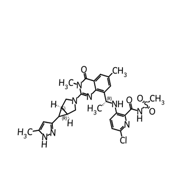 Cc1cc([C@@H](C)Nc2ccc(Cl)nc2C(=O)NS(C)(=O)=O)c2nc(N3C[C@@H]4C(c5cc(C)[nH]n5)[C@@H]4C3)n(C)c(=O)c2c1